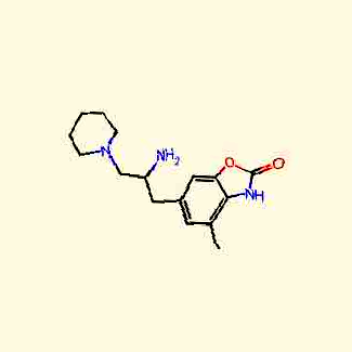 Cc1cc(CC(N)CN2CCCCC2)cc2oc(=O)[nH]c12